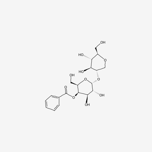 O=C(O[C@@H]1[C@H](O)[C@@H](O)[C@@H](O[C@H]2CO[C@H](CO)[C@@H](O)[C@@H]2O)O[C@@H]1CO)c1ccccc1